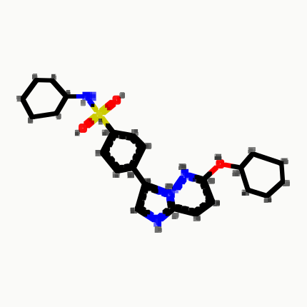 O=S(=O)(NC1CCCCC1)c1ccc(-c2cnc3ccc(OC4CCCCC4)nn23)cc1